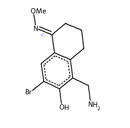 CO/N=C1\CCCc2c1cc(Br)c(O)c2CN